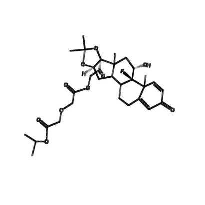 CC(C)OC(=O)COCC(=O)OCC(=O)[C@@]12OC(C)(C)O[C@@H]1CC1C3CCC4=CC(=O)C=CC4(C)[C@@]3(F)[C@@H](O)CC12C